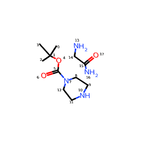 CC(C)(C)OC(=O)N1CCNCC1.NCC(N)=O